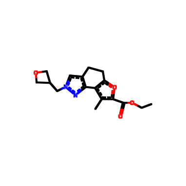 CCOC(=O)c1oc2c(c1C)-c1nn(CC3COC3)cc1CC2